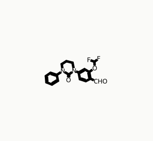 O=Cc1ccc(N2CCCN(c3ccccc3)C2=O)cc1OC(F)F